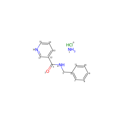 Cl.N.O=C(NCc1ccccc1)c1cccnc1